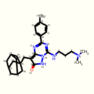 CN(C)CCCNc1nc(-c2ccc(C(C)(C)C)cc2)nc2c(CC34CC5CC(CC(C5)C3)C4)c(=O)[nH]n12